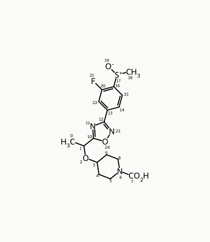 CC(OC1CCN(C(=O)O)CC1)c1nc(-c2ccc([S+](C)[O-])c(F)c2)no1